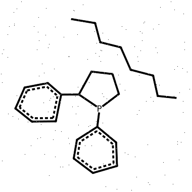 CCCCCCCC.c1ccc(C2CCCP2c2ccccc2)cc1